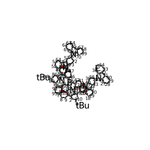 CC(C)(C)c1cc(-c2ccccc2)c(N2c3cc(-n4c5ccccc5c5cc(-n6c7ccccc7c7ccccc76)ccc54)ccc3B3c4ccc(-n5c6ccccc6c6cc(-n7c8ccccc8c8ccccc87)ccc65)cc4N(c4c(-c5ccccc5)cc(C(C)(C)C)cc4-c4ccccc4)c4cccc2c43)c(-c2ccccc2)c1